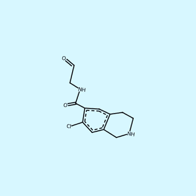 O=CCNC(=O)c1cc2c(cc1Cl)CNCC2